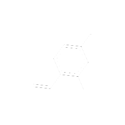 C=Cc1ccc(I)cc1I